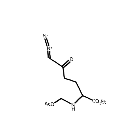 CCOC(=O)C(CCC(=O)C=[N+]=[N-])NCOC(C)=O